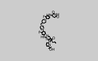 C=CCn1c(=O)c2cnc(Nc3ccc(N4CCN(CC5CCN(c6ccc(NC7CCC(=O)NC7=O)cc6F)CC5)CC4)c(F)c3)nc2n1-c1cccc(C(C)(C)O)n1